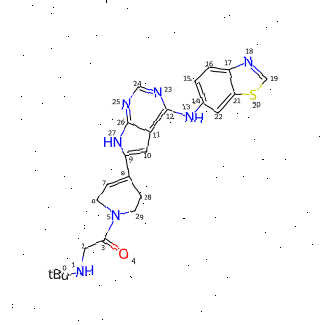 CC(C)(C)NCC(=O)N1CC=C(c2cc3c(Nc4ccc5ncsc5c4)ncnc3[nH]2)CC1